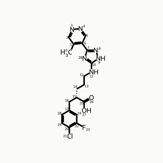 Cc1cnncc1-c1n[nH]c(NCCC[C@@H](Cc2ccc(Cl)c(F)c2)C(=O)O)n1